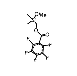 CO[Si](C)(C)COC(=O)c1c(F)c(F)c(F)c(F)c1F